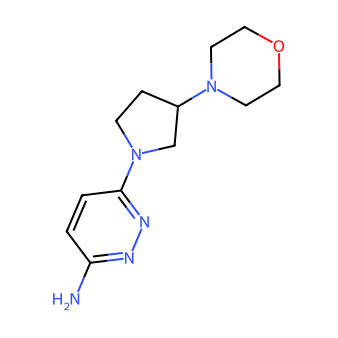 Nc1ccc(N2CCC(N3CCOCC3)C2)nn1